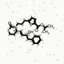 CC(C)OC(=O)c1ccc(CCCN2C(=O)SCC[C@@H]2C=C[C@@H](O)Cc2ccccc2)s1